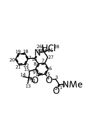 CNC(=O)COc1cc2c(c3c1OC(C)(C)C3)C(c1ccccc1)=NC(C)(C)C2.Cl